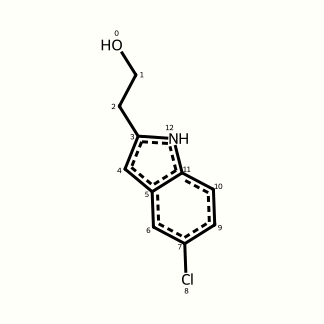 OCCc1cc2cc(Cl)ccc2[nH]1